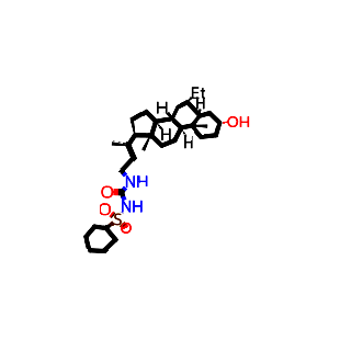 CC[C@H]1C[C@@H]2[C@H](CC[C@]3(C)[C@@H]([C@H](C)CCNC(=O)NS(=O)(=O)C4CCCCC4)CC[C@@H]23)[C@@]2(C)CC[C@@H](O)C[C@@H]12